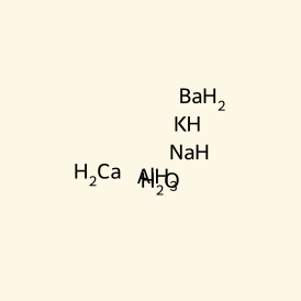 O.[AlH3].[BaH2].[CaH2].[KH].[NaH]